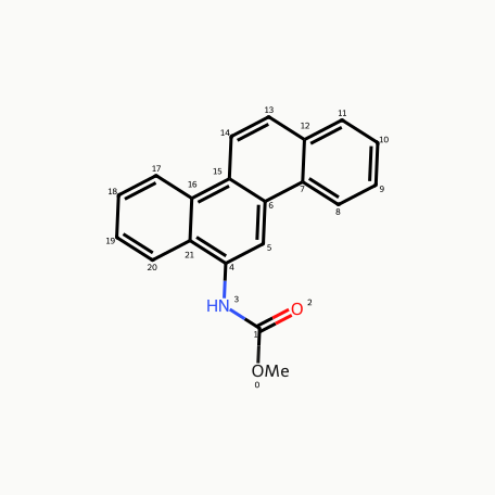 COC(=O)Nc1cc2c3ccccc3ccc2c2ccccc12